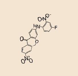 O=C1c2ccc([N+](=O)[O-])cc2COc2cc(Nc3ccc(F)cc3[N+](=O)[O-])ccc21